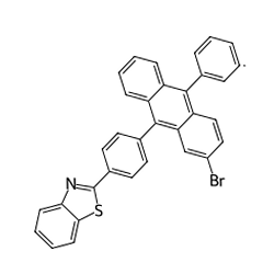 Brc1ccc2c(-c3c[c]ccc3)c3ccccc3c(-c3ccc(-c4nc5ccccc5s4)cc3)c2c1